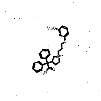 COc1cccc(OCCC[N@+]2(C)CCC(C(C(N)=O)(c3ccccc3)c3ccccc3)C2)c1